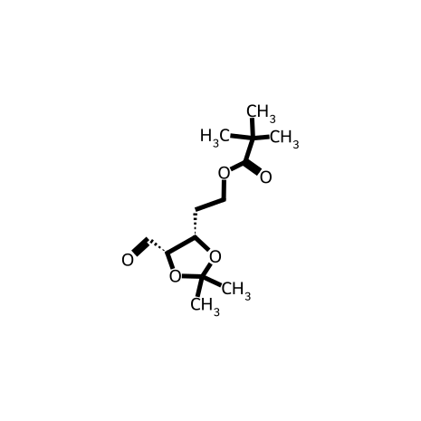 CC1(C)O[C@@H](CCOC(=O)C(C)(C)C)[C@@H](C=O)O1